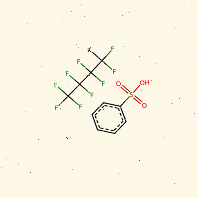 FC(F)(F)C(F)(F)C(F)(F)[C](F)(F)[K].O=S(=O)(O)c1ccccc1